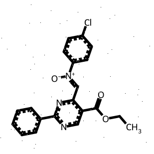 CCOC(=O)c1cnc(-c2ccccc2)nc1C=[N+]([O-])c1ccc(Cl)cc1